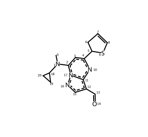 CN(c1cc(C2CC=CS2)nc2c(C=O)cnn12)C1CC1